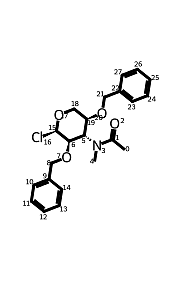 CC(=O)N(C)[C@@H]1[C@@H](OCc2ccccc2)[C@@H](Cl)OC[C@H]1OCc1ccccc1